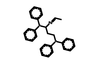 C[CH]=[Pd][CH](CCP(c1ccccc1)c1ccccc1)P(c1ccccc1)c1ccccc1